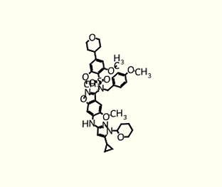 COc1ccc(CN(c2noc3cc(Nc4cc(C5CC5)n(C5CCCCO5)n4)c(OC)cc23)S(=O)(=O)c2c(OC)cc(C3CCOCC3)cc2OC)cc1